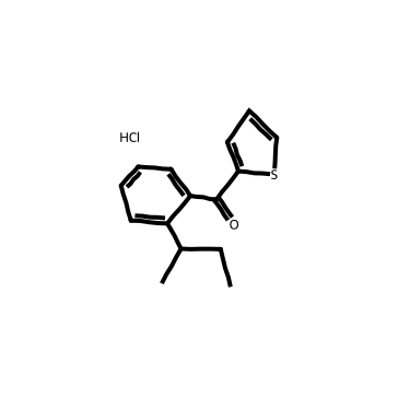 CCC(C)c1ccccc1C(=O)c1cccs1.Cl